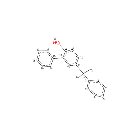 CC(C)(c1ccccc1)c1ccc(O)c(-c2ccccc2)c1